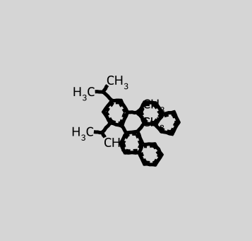 CC(C)c1cc(C(C)C)c(-c2ccc3ccccc3c2-c2cccc3ccccc23)c(C(C)C)c1